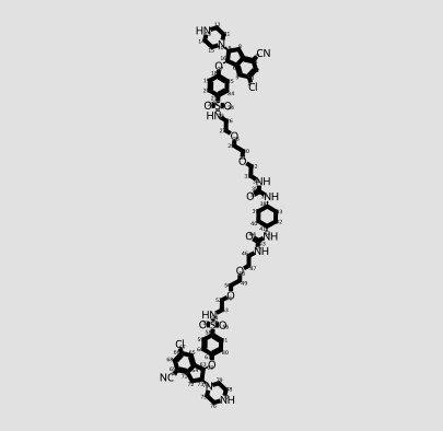 N#Cc1cc(Cl)cc2c1C[C@H](N1CCNCC1)[C@H]2Oc1ccc(S(=O)(=O)NCCOCCOCCNC(=O)N[C@H]2CC[C@@H](NC(=O)NCCOCCOCCNS(=O)(=O)c3ccc(O[C@H]4c5cc(Cl)cc(C#N)c5C[C@@H]4N4CCNCC4)cc3)CC2)cc1